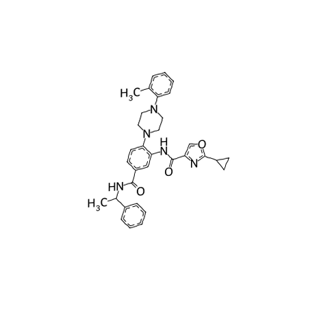 Cc1ccccc1N1CCN(c2ccc(C(=O)NC(C)c3ccccc3)cc2NC(=O)c2coc(C3CC3)n2)CC1